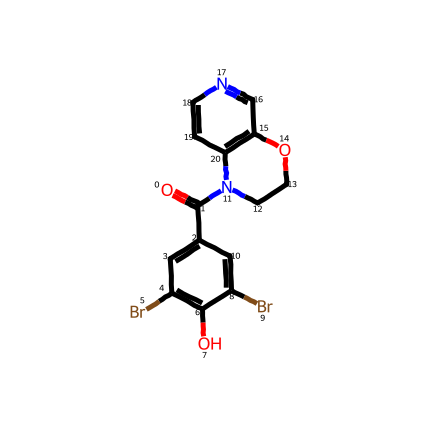 O=C(c1cc(Br)c(O)c(Br)c1)N1CCOc2cnccc21